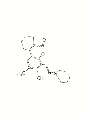 Cc1cc2c3c(c(=O)oc2c(/C=N/N2CCCCC2)c1O)CCCC3